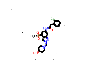 CS(=O)(=O)c1cc(NC(=O)Cc2ccccc2Cl)cc2nn(CN3CCC(O)CC3)cc12